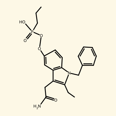 CCCP(=O)(O)OOc1ccc2c(c1)c(CC(N)=O)c(CC)n2Cc1ccccc1